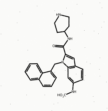 O=C(O)Nc1ccc2cc(C(=O)NC3CCNCC3)n(Cc3cccc4ccccc34)c2c1